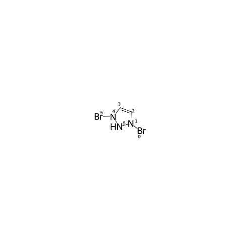 BrN1C=CN(Br)N1